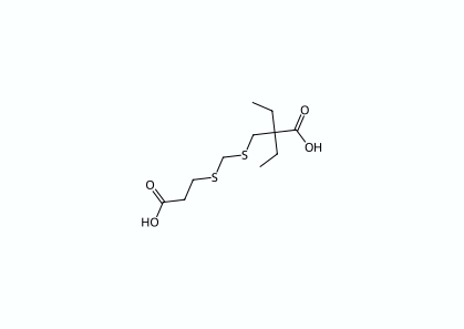 CCC(CC)(CSCSCCC(=O)O)C(=O)O